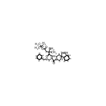 CC(C)(C)OC(=O)CC(C)(N)C(=O)N[C@H](COCc1ccccc1)C(=O)N1CCC2(CC1)CNc1ccccc12